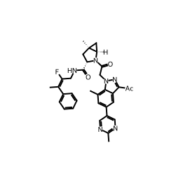 CC(=O)c1nn(CC(=O)N2[C@H](C(=O)NC/C(F)=C(/C)c3ccccc3)C[C@@]3(C)C[C@@H]23)c2c(C)cc(-c3cnc(C)nc3)cc12